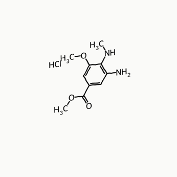 CNc1c(N)cc(C(=O)OC)cc1OC.Cl